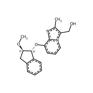 CO[C@@H]1Cc2ccccc2[C@H]1Oc1cccn2c(CO)c(C)nc12